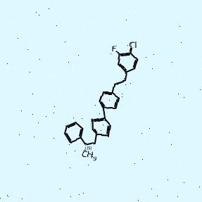 C[C@@H](Cc1ccc(-c2ccc(CCc3ccc(Cl)c(F)c3)cc2)cc1)c1ccccc1